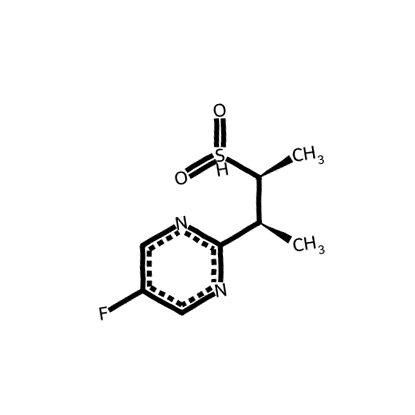 C[C@@H](c1ncc(F)cn1)[C@H](C)[SH](=O)=O